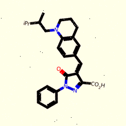 CC(C)C(C)CN1CCCc2cc(/C=C3\C(=O)N(c4ccccc4)N=C3C(=O)O)ccc21